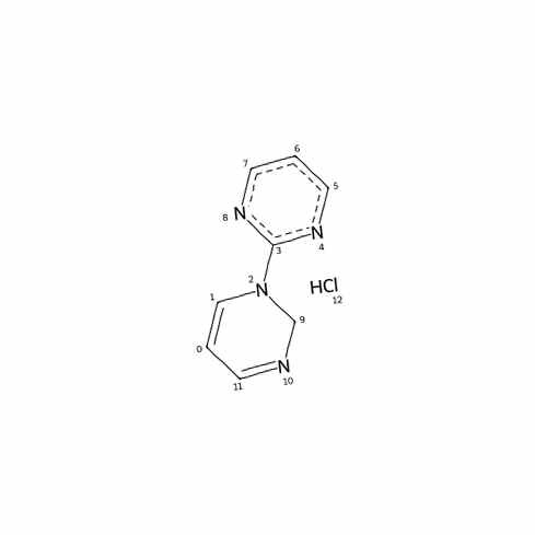 C1=CN(c2ncccn2)CN=C1.Cl